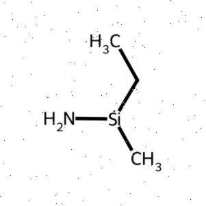 CC[Si](C)N